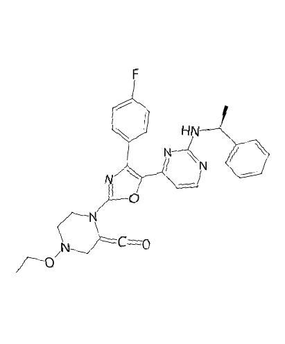 CCON1CCN(c2nc(-c3ccc(F)cc3)c(-c3ccnc(N[C@@H](C)c4ccccc4)n3)o2)C(=C=O)C1